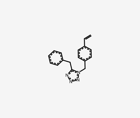 C=Cc1ccc(Cn2nnnc2Cc2ccccc2)cc1